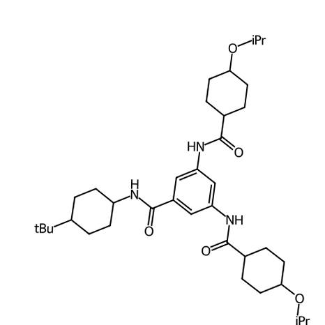 CC(C)OC1CCC(C(=O)Nc2cc(NC(=O)C3CCC(OC(C)C)CC3)cc(C(=O)NC3CCC(C(C)(C)C)CC3)c2)CC1